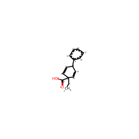 CCC1(C(=O)O)C=CC(c2ccccc2)C=C1